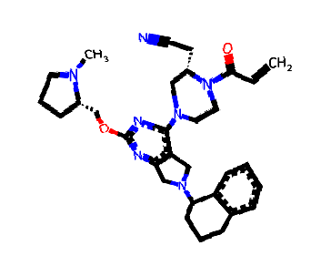 C=CC(=O)N1CCN(c2nc(OC[C@@H]3CCCN3C)nc3c2CN(C2CCCc4ccccc42)C3)C[C@@H]1CC#N